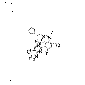 CN(/C=N\c1cc(-c2ncc(Cl)c(N)n2)c(F)cc1C=O)CCC1CCCC1